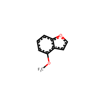 FC(F)(F)Oc1[c]ccc2occc12